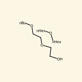 CCCCCCOCCCCCC.CCCCOCCOCCO